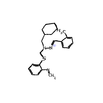 C=Nc1ccccc1SCN(CC1CCCCC1)/N=C/c1ccccc1C